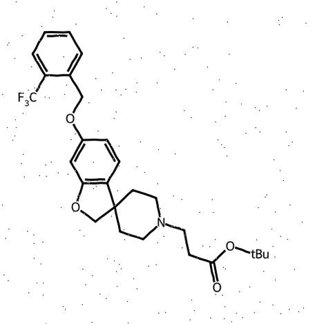 CC(C)(C)OC(=O)CCN1CCC2(CC1)COc1cc(OCc3ccccc3C(F)(F)F)ccc12